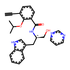 C#Cc1cccc(C(=O)N[C@@H](CO)Cc2c[nH]c3ccccc23)c1OC(C)C.c1cncnc1